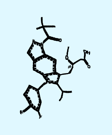 CO[C@H](Cc1c(C(C)C)n(-c2ccc(F)c(F)c2)c2cc3cnn(C(=O)C(C)(C)C)c3cc12)C(=O)O